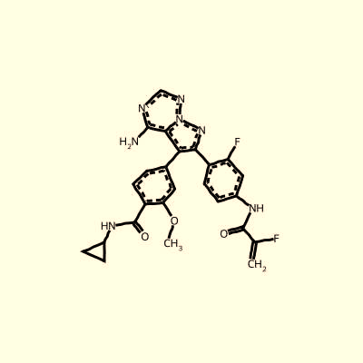 C=C(F)C(=O)Nc1ccc(-c2nn3ncnc(N)c3c2-c2ccc(C(=O)NC3CC3)c(OC)c2)c(F)c1